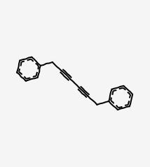 C(C#CCc1ccccc1)#CCc1ccccc1